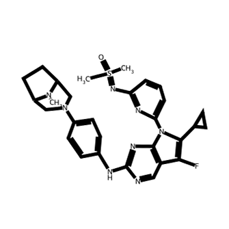 CN1C2CCC1CN(c1ccc(Nc3ncc4c(F)c(C5CC5)n(-c5cccc(N=S(C)(C)=O)n5)c4n3)cc1)C2